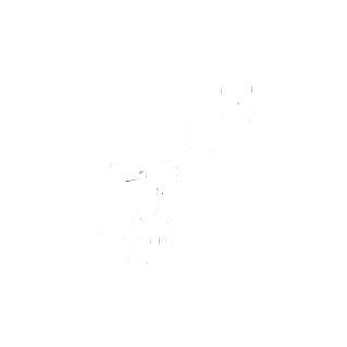 CC(C)(C)OC(=O)N1CC(c2ccc(C(F)(F)F)cc2)C[C@@H]1C=O